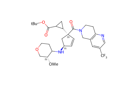 CO[C@@H]1COCCC1N[C@@H]1C=C[C@@](C(=O)N2CCc3ncc(C(F)(F)F)cc3C2)(C2CC2C(=O)OC(C)(C)C)C1